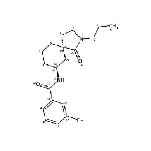 CCCN1CC[C@]2(CCC[C@H](NC(=O)c3cccc(F)c3)C2)C1=O